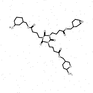 CC1CCCC(COC(=O)CCCn2c(=O)n(CCCC(=O)OCC3CCC(C)OC3)c(=O)n(CCCC(=O)OCC3CCC4OC4C3)c2=O)C1